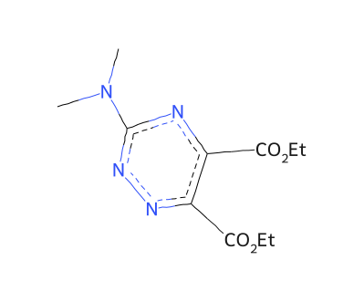 CCOC(=O)c1nnc(N(C)C)nc1C(=O)OCC